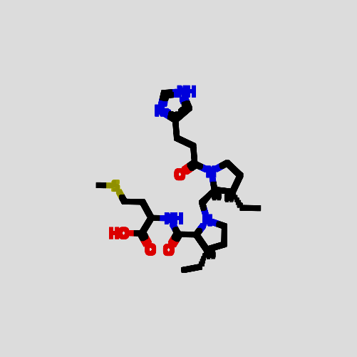 CC[C@H]1CCN(C[C@@H]2[C@@H](CC)CCN2C(=O)CCc2c[nH]cn2)C1C(=O)NC(CCSC)C(=O)O